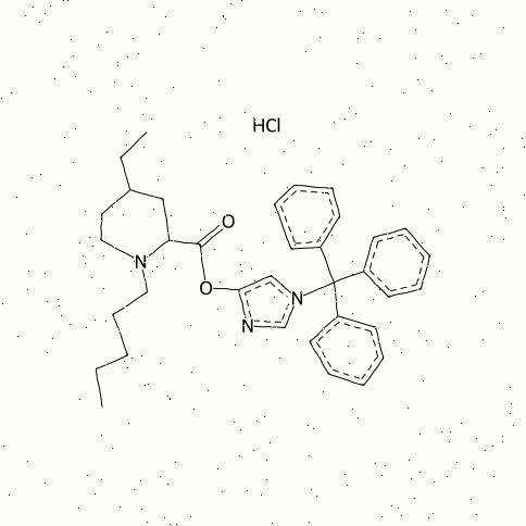 CCCCCN1CCC(CC)CC1C(=O)Oc1cn(C(c2ccccc2)(c2ccccc2)c2ccccc2)cn1.Cl